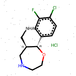 CC(=O)NC[C@@H]1CNCCO[C@H]1c1ccc(Cl)c(F)c1.Cl